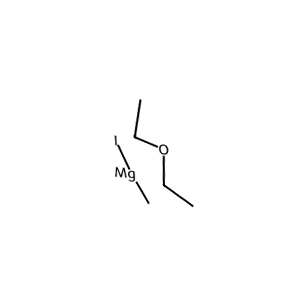 CCOCC.[CH3][Mg][I]